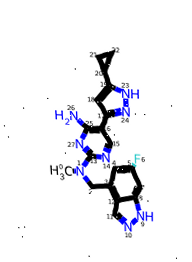 CN(Cc1cc(F)cc2[nH]ncc12)c1ncc(-c2cc(C3CC3)[nH]n2)c(N)n1